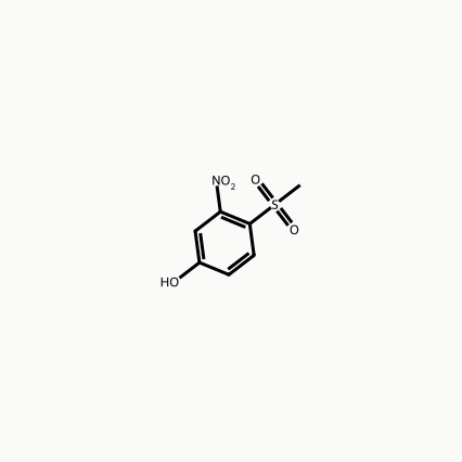 CS(=O)(=O)c1ccc(O)cc1[N+](=O)[O-]